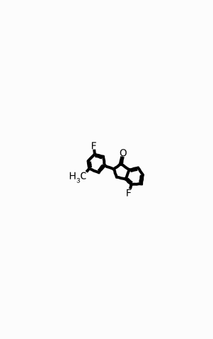 Cc1cc(F)cc(C2Cc3c(F)cccc3C2=O)c1